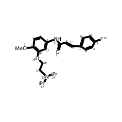 COc1ccc(NC(=O)/C=C/c2ccc(F)cc2)cc1OCCN(C(C)C)C(C)C